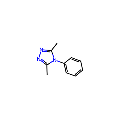 Cc1nnc(C)n1-c1ccccc1